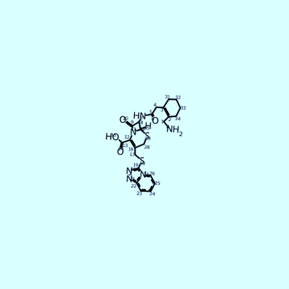 NCC1=C(CC(=O)NC2C(=O)N3C(C(=O)O)=C(CSc4nnc5ccccn45)CS[C@@H]23)CCCC1